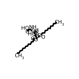 CCCCCCCCCCCCCC(=O)O[C@H](COC(=O)CCCCCCCCCCC)COP(=O)(O)OC[C@H](N)C(=O)O